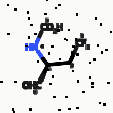 O=C[C@H](CC(F)(F)F)NC(=O)O